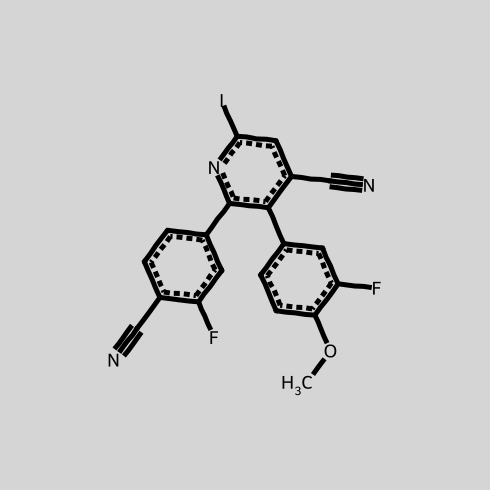 COc1ccc(-c2c(C#N)cc(I)nc2-c2ccc(C#N)c(F)c2)cc1F